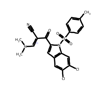 Cc1ccc(S(=O)(=O)n2c(C(=O)/C(C#N)=C/N(C)C)cc3cc(Cl)c(Cl)cc32)cc1